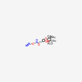 CC(=O)OC[C@H]1O[C@@H](Oc2ccc(CCC(=O)NCCOCCN=[N+]=[N-])cc2O)[C@H](OC(C)=O)[C@@H](OC(C)=O)[C@H]1OC(C)=O